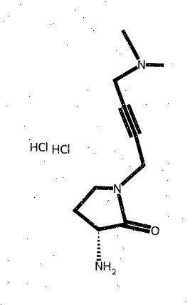 CN(C)CC#CCN1CC[C@@H](N)C1=O.Cl.Cl